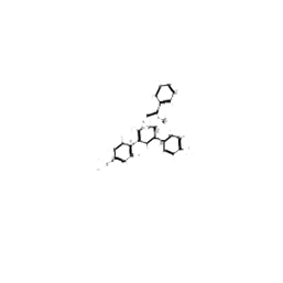 CC(=O)c1ccc(-c2cc(-c3ccc(Br)cc3)cn3cc(-c4ccccc4)nc23)cc1